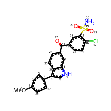 COc1ccc(-c2c[nH]c3cc(C(=O)c4ccc(Cl)c(S(N)(=O)=O)c4)ccc23)cc1